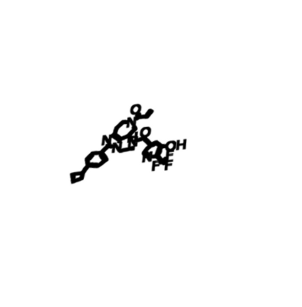 C=CC(=O)N1CCc2nc(-c3ccc(C4CCC4)cc3)n3c2[C@@H](C1)N(C(=O)c1cnc(C(F)(F)F)c(O)c1)CC3